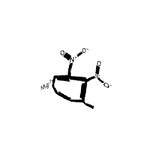 Cc1cccc([N+](=O)[O-])c1[N+](=O)[O-].[Mg+2]